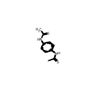 CC(=S)Nc1ccc(NC(=S)I)cc1